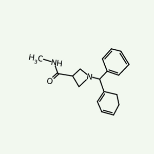 CNC(=O)C1CN(C(C2=CC=CCC2)c2ccccc2)C1